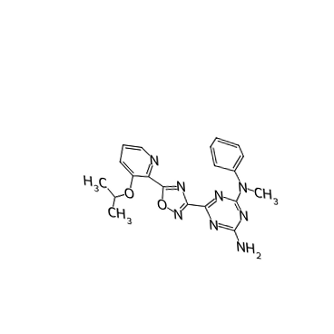 CC(C)Oc1cccnc1-c1nc(-c2nc(N)nc(N(C)c3ccccc3)n2)no1